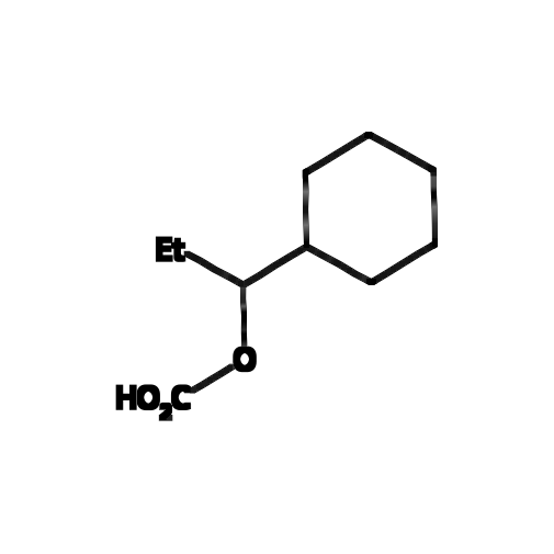 CCC(OC(=O)O)C1CCCCC1